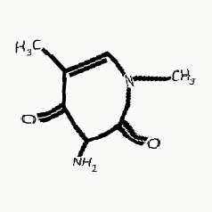 CC1=CN(C)C(=O)C(N)C1=O